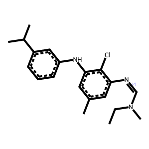 CCN(C)/C=N\c1cc(C)cc(Nc2cccc(C(C)C)c2)c1Cl